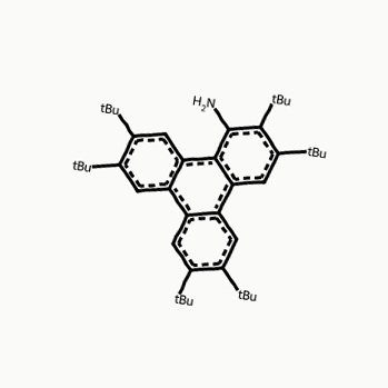 CC(C)(C)c1cc2c3cc(C(C)(C)C)c(C(C)(C)C)cc3c3c(N)c(C(C)(C)C)c(C(C)(C)C)cc3c2cc1C(C)(C)C